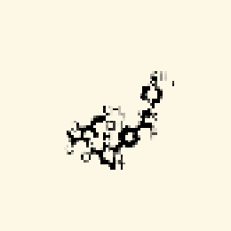 CC(C)=CC1CN(C(=O)C(CC(C)C)NC(=O)c2ccc(-c3nc(N4CCN(C)CC4)sc3F)cc2)C2C(=O)COC12